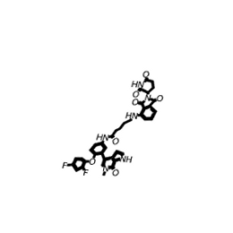 Cn1cc(-c2cc(NC(=O)CCCCNc3cccc4c3C(=O)N(C3CCC(=O)NC3=O)C4=O)ccc2Oc2ccc(F)cc2F)c2cc[nH]c2c1=O